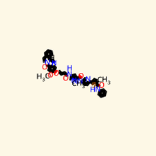 COc1cc2c(cc1OCCCC(=O)Nc1cc(C(=O)Nc3ccc(-c4cc(C)c(C(=O)Nc5ccccc5)s4)nc3)n(C)c1)N=C[C@@H]1c3ccccc3CCN1C2=O